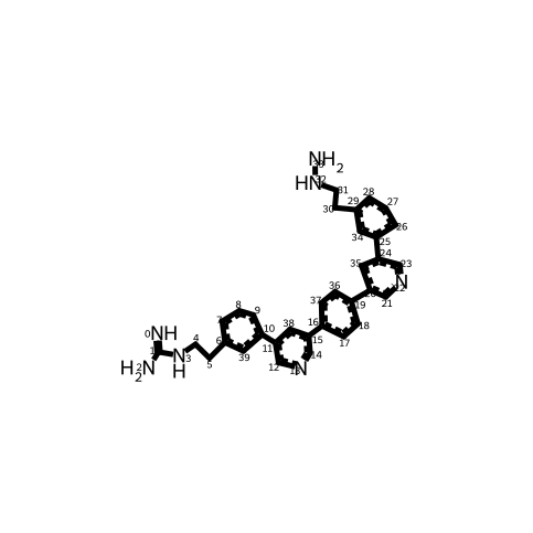 N=C(N)NCCc1cccc(-c2cncc(-c3ccc(-c4cncc(-c5cccc(CCNN)c5)c4)cc3)c2)c1